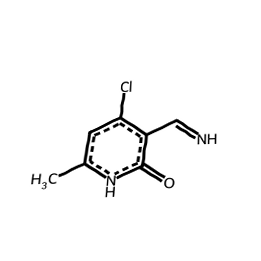 Cc1cc(Cl)c(C=N)c(=O)[nH]1